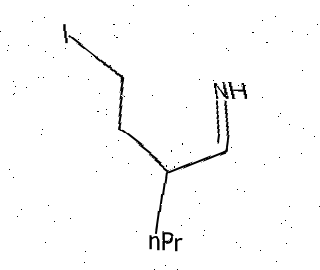 CCCC(C=N)CCI